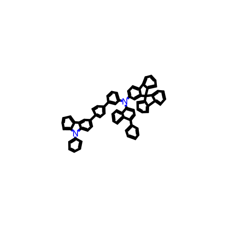 c1ccc(-c2ccc(N(c3cccc(-c4ccc(-c5ccc6c(c5)c5ccccc5n6-c5ccccc5)cc4)c3)c3ccc4c(c3)C3(c5ccccc5-c5ccccc53)c3ccccc3-4)c3ccccc23)cc1